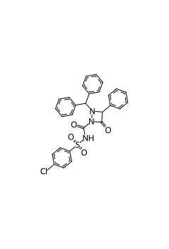 O=C(NS(=O)(=O)c1ccc(Cl)cc1)N1C(=O)C(c2ccccc2)N1C(c1ccccc1)c1ccccc1